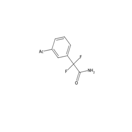 CC(=O)c1cccc(C(F)(F)C(N)=O)c1